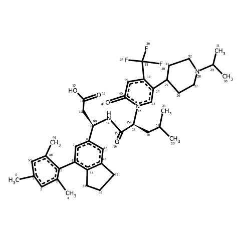 Cc1cc(C)c(-c2cc([C@@H](CC(=O)O)NC(=O)[C@H](CC(C)C)n3cc(C4CCN(C(C)C)CC4)c(C(F)(F)F)cc3=O)cc3c2CCC3)c(C)c1